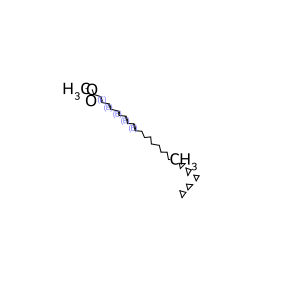 C1CC1.C1CC1.C1CC1.C1CC1.C1CC1.CCCCCCCCC/C=C/C=C/C=C/C=C/C=C/C(=O)OC